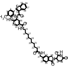 Cc1ccccc1Nc1ncc(C(=O)NCCCCCCCCCC(=O)NCc2ccc3c(c2)CN(C2CCC(=O)NC2=O)C3=O)cc1NC(=O)c1csc2ccccc12